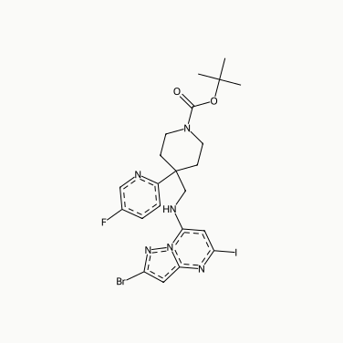 CC(C)(C)OC(=O)N1CCC(CNc2cc(I)nc3cc(Br)nn23)(c2ccc(F)cn2)CC1